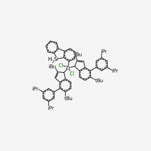 CCC(C)C1=Cc2c(ccc(C(C)(C)C)c2-c2cc(C(C)C)cc(C(C)C)c2)[CH]1[Zr]([Cl])([Cl])([c]1cccc2c1[SiH2]c1ccccc1-2)[CH]1C(C(C)CC)=Cc2c1ccc(C(C)(C)C)c2-c1cc(C(C)C)cc(C(C)C)c1